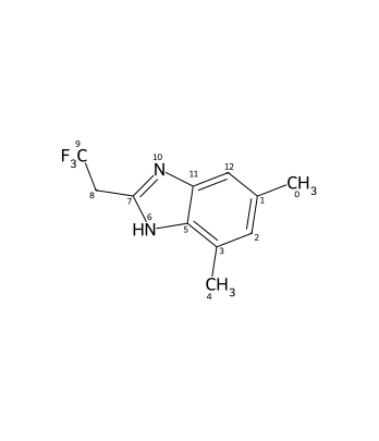 Cc1cc(C)c2[nH]c(CC(F)(F)F)nc2c1